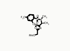 COCc1nc([C@H](C)N(C)S(=O)(=O)c2ccc(C(F)(F)F)cc2Cl)no1